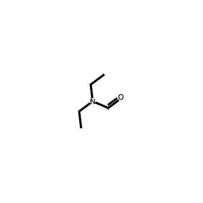 CCN([C]=O)CC